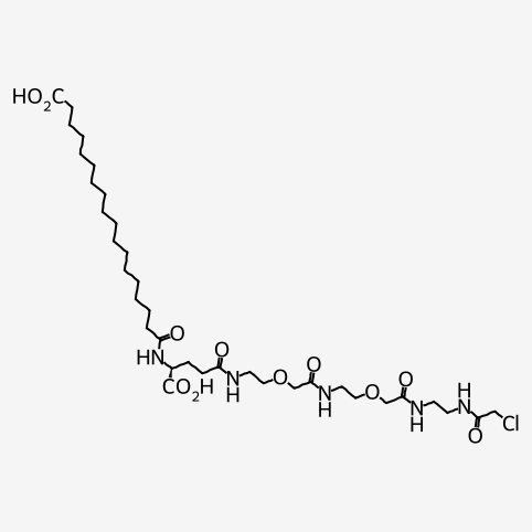 O=C(O)CCCCCCCCCCCCCCCCC(=O)N[C@@H](CCC(=O)NCCOCC(=O)NCCOCC(=O)NCCNC(=O)CCl)C(=O)O